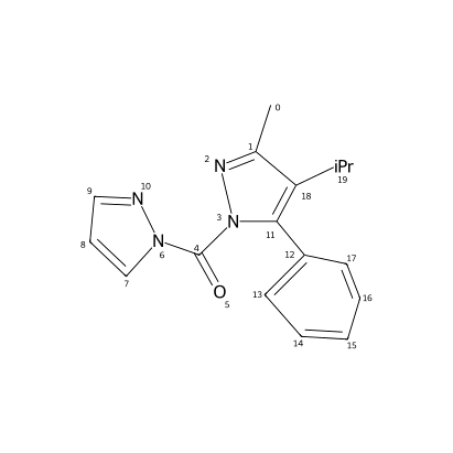 Cc1nn(C(=O)n2cccn2)c(-c2ccccc2)c1C(C)C